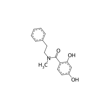 CN(CCc1ccccc1)C(=O)c1ccc(O)cc1O